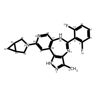 Cc1n[nH]c2c1N=C(c1c(F)cccc1F)Nc1cnc(N3CC4CC4C3)cc1-2